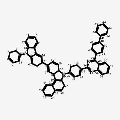 C1=CCCC(n2c3c(c4ccccc42)=CC(C2=CC4C5=c6ccccc6=CCC5N(C5=CC=C(c6nc(-c7ccc(-c8ccccc8)cc7)c7ccccc7n6)CC5)C4C=C2)CC=3)=C1